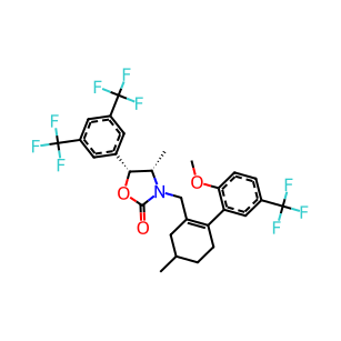 COc1ccc(C(F)(F)F)cc1C1=C(CN2C(=O)O[C@H](c3cc(C(F)(F)F)cc(C(F)(F)F)c3)[C@@H]2C)CC(C)CC1